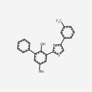 CC(C)(C)c1cc(-c2ccccc2)c(O)c(-c2nc(-c3cccc(C(F)(F)F)c3)cs2)c1